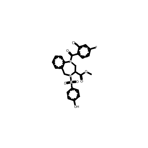 COC(=O)C1CN(C(=O)c2ccc(F)cc2Cl)c2ccccc2CN1S(=O)(=O)c1ccc(O)cc1